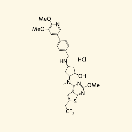 COc1nc(N(C)[C@H]2C[C@@H](NCc3ccc(-c4cnc(OC)c(OC)c4)cc3)C[C@H]2O)c2cc(CC(F)(F)F)sc2n1.Cl